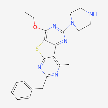 CCOc1nc(N2CCNCC2)nc2c1sc1nc(Cc3ccccc3)nc(C)c12